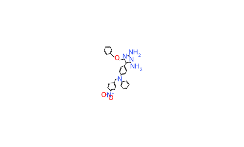 Nc1nc(N)c(-c2ccc(N(Cc3ccc([N+](=O)[O-])cc3)c3ccccc3)cc2)c(COCc2ccccc2)n1